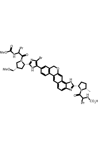 COC[C@H]1C[C@@H](c2nc(Br)c(-c3ccc4c(c3)COc3cc5c(ccc6nc([C@@H]7CC[C@H](C)N7C(=O)C(NC(=O)O)C(C)C)[nH]c65)cc3-4)[nH]2)N(C(=O)C(NC(=O)OC)C(C)C)C1